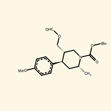 COc1ccc([C@@H]2C[C@@H](C)N(C(=O)OC(C)(C)C)C[C@H]2COC=O)cc1